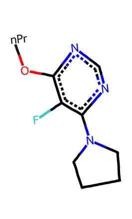 CCCOc1ncnc(N2CCCC2)c1F